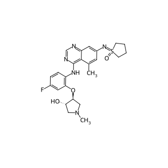 Cc1cc(N=S2(=O)CCCC2)cc2ncnc(Nc3ccc(F)cc3O[C@H]3CN(C)C[C@@H]3O)c12